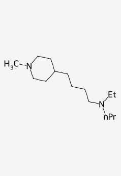 CCCN(CC)CCCCC1CCN(C)CC1